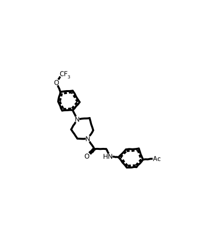 CC(=O)c1ccc(NCC(=O)N2CCN(c3ccc(OC(F)(F)F)cc3)CC2)cc1